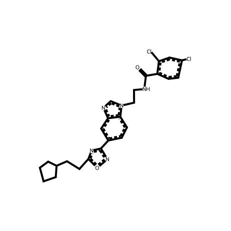 O=C(NCCn1cnc2cc(-c3noc(CCC4CCCC4)n3)ccc21)c1ccc(Cl)cc1Cl